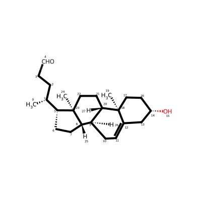 C[C@H](CCC=O)[C@H]1CC[C@H]2[C@@H]3CC=C4C[C@@H](O)CC[C@]4(C)[C@H]3CC[C@]12C